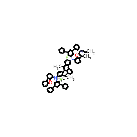 C=C/C=C\c1oc2c(N(c3ccc4c(C)c5c6c(cccc6c4c3)C(C)(C)c3cc(N(c4cc(-c6ccccc6)cc(-c6ccccc6)c4F)c4cccc6c4oc4ccccc46)ccc3-5)c3cc(-c4ccccc4)cc(-c4ccccc4)c3F)cccc2c1C